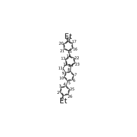 CCc1ccc(-c2ccc3c(c2)[CH]c2cc(-c4ccc(CC)cc4)ccc2-3)cc1